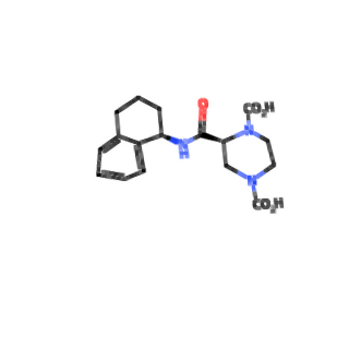 O=C(N[C@@H]1CCCc2ccccc21)[C@@H]1CN(C(=O)O)CCN1C(=O)O